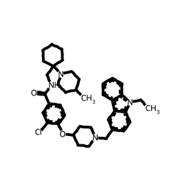 CCn1c2ccccc2c2cc(CN3CCC(Oc4ccc(C(=O)NCC5(N6CCC(C)CC6)CCCCC5)cc4Cl)CC3)ccc21